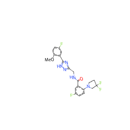 COc1ccc(F)cc1-c1nc(CNC(=O)c2cc(F)ccc2N2CCC(F)(F)C2)n[nH]1